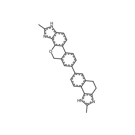 Cc1nc2c([nH]1)-c1ccc(-c3ccc4c(c3)COc3c-4ccc4[nH]c(C)nc34)cc1CC2